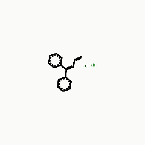 Cl.Cl.[Ru]=[CH]C=C(c1ccccc1)c1ccccc1